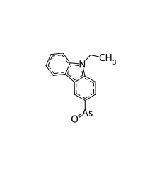 CCn1c2ccccc2c2cc([As]=O)ccc21